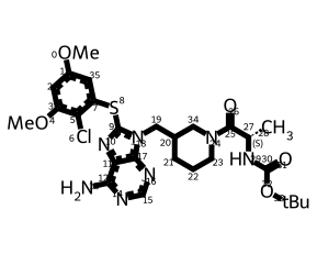 COc1cc(OC)c(Cl)c(Sc2nc3c(N)ncnc3n2CC2CCCN(C(=O)[C@H](C)NC(=O)OC(C)(C)C)C2)c1